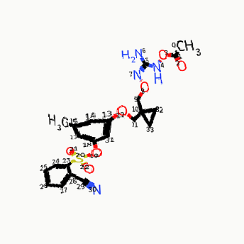 CC(=O)ONC(N)=NOCC1(COc2cc(C)cc(OS(=O)(=O)c3ccccc3C#N)c2)CC1